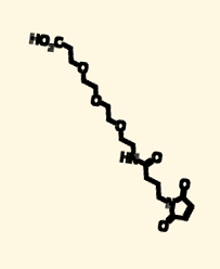 O=C(O)CCOCCOCCOCCNC(=O)CCCN1C(=O)C=CC1=O